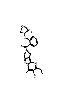 CCc1nc2c3c(nn2c(C)c1Cl)CN(C(=O)c1ccccc1O[C@H]1COC[C@@H]1O)C3